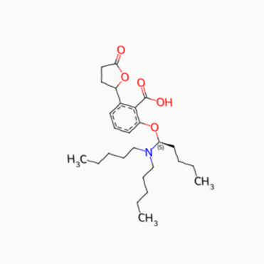 CCCCCN(CCCCC)[C@H](CCCC)Oc1cccc(C2CCC(=O)O2)c1C(=O)O